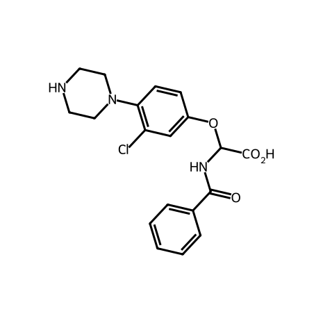 O=C(NC(Oc1ccc(N2CCNCC2)c(Cl)c1)C(=O)O)c1ccccc1